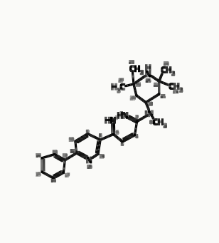 CN(C(=N)/C=C\C(=N)c1ccc(-c2ccccc2)nc1)C1CC(C)(C)NC(C)(C)C1